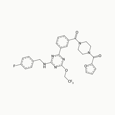 O=C(c1cccc(-c2nc(NCc3ccc(F)cc3)nc(OCC(F)(F)F)n2)c1)N1CCN(C(=O)c2ccco2)CC1